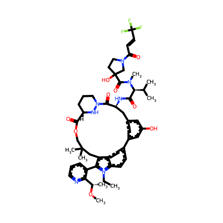 CCn1c(-c2cccnc2[C@H](C)OC)c2c3cc(ccc31)-c1cc(O)cc(c1)C[C@H](NC(=O)[C@H](C(C)C)N(C)C(=O)C1(O)CCN(C(=O)/C=C/C(F)(F)F)C1)C(=O)N1CCC[C@H](N1)C(=O)OCC(C)(C)C2